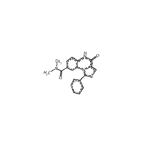 CN(C)C(=O)c1ccc2[nH]c(=O)c3cnc(-c4ccccc4)n3c2c1